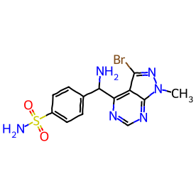 Cn1nc(Br)c2c(C(N)c3ccc(S(N)(=O)=O)cc3)ncnc21